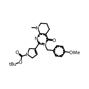 COc1ccc(Cn2c(C3=CCN(C(=O)OC(C)(C)C)C3)nc3c(c2=O)CCCN3C)cc1